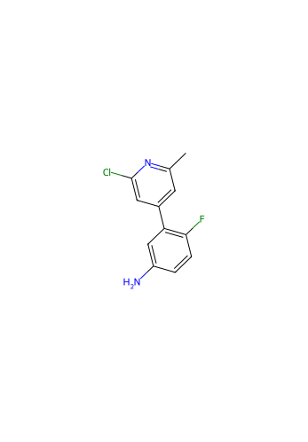 Cc1cc(-c2cc(N)ccc2F)cc(Cl)n1